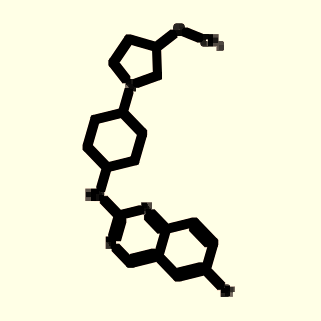 COC1CCN(C2CCC(Nc3ncc4cc(Br)ccc4n3)CC2)C1